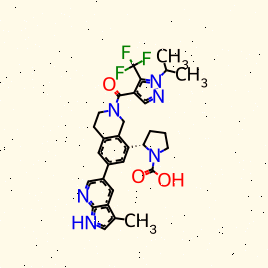 Cc1c[nH]c2ncc(-c3cc4c(c([C@@H]5CCCN5C(=O)O)c3)CN(C(=O)c3cnn(C(C)C)c3C(F)(F)F)CC4)cc12